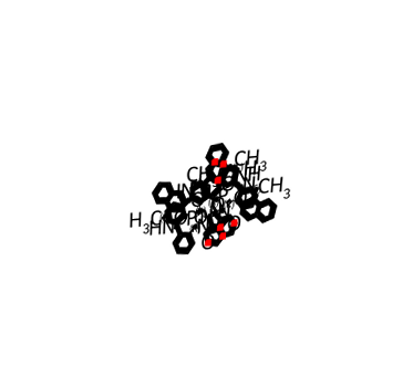 C[C@H](NC(=O)c1ccccc1[C@@H]1n2c(=O)c3ccccc3c(=O)n2[C@@H](c2ccccc2[C@@H]2n3c(=O)c4ccccc4c(=O)n3[C@@H](c3ccccc3C(=O)N[C@@H](C)c3cccc4ccccc34)P2c2ccccc2C(=O)N[C@@H](C)c2cccc3ccccc23)P1c1ccccc1C(=O)N[C@@H](C)c1cccc2ccccc12)c1cccc2ccccc12